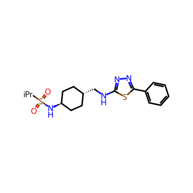 CC(C)S(=O)(=O)N[C@H]1CC[C@H](CNc2nnc(-c3ccccc3)s2)CC1